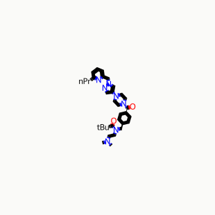 CCCc1cccc(Cn2cc(N3CCN(C(=O)[C@H]4CC[C@H](CN(CCN(C)C)C(=O)C(C)(C)C)CC4)CC3)cn2)n1